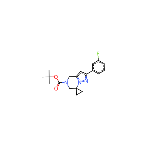 CC(C)(C)OC(=O)N1Cc2cc(-c3cccc(F)c3)nn2C2(CC2)C1